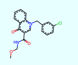 COCNC(=O)c1cn(Cc2cccc(Cl)c2)c2ccccc2c1=O